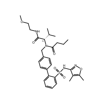 CCCC(=O)N(Cc1ccc(-c2ccccc2S(=O)(=O)Nc2noc(C)c2C)cc1)[C@H](C(=O)NCCOC)C(C)C